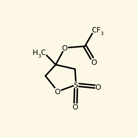 CC1(OC(=O)C(F)(F)F)COS(=O)(=O)C1